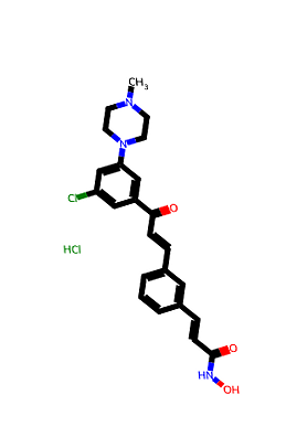 CN1CCN(c2cc(Cl)cc(C(=O)C=Cc3cccc(C=CC(=O)NO)c3)c2)CC1.Cl